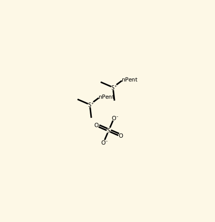 CCCCC[S+](C)C.CCCCC[S+](C)C.O=S(=O)([O-])[O-]